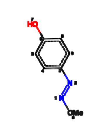 CON=Nc1ccc(O)cc1